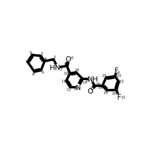 O=C(NCc1ccccc1)c1ccnc(NC(=O)c2cc(F)cc(F)c2)c1